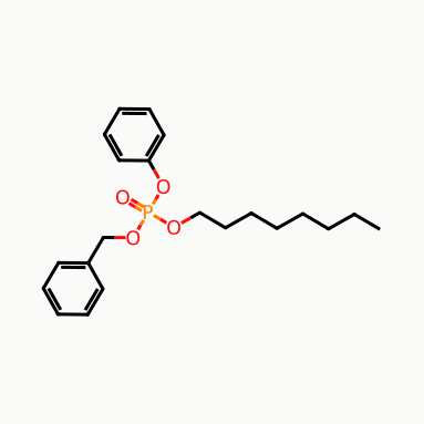 CCCCCCCCOP(=O)(OCc1ccccc1)Oc1ccccc1